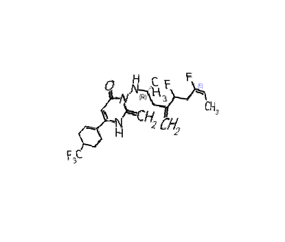 C=C(C[C@@H](C)NN1C(=C)NC(C2=CCC(C(F)(F)F)CC2)=CC1=O)C(F)C/C(F)=C\C